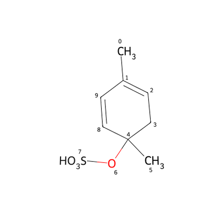 CC1=CCC(C)(OS(=O)(=O)O)C=C1